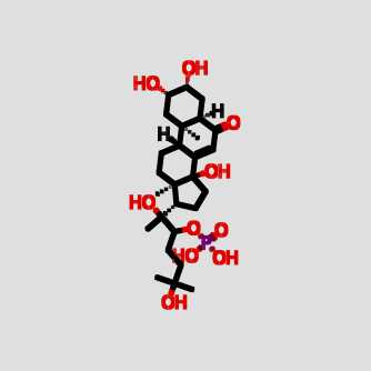 CC(C)(O)CCC(OP(=O)(O)O)C(C)(O)[C@H]1CC[C@@]2(O)C3=CC(=O)[C@@H]4C[C@@H](O)[C@@H](O)C[C@]4(C)[C@H]3CC[C@]12C